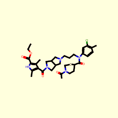 CCOC(=O)c1[nH]c(C)c(C(=O)N2CC3CN(CCCN(C(=O)C4CCN(C(C)=O)CC4)c4ccc(C)c(Cl)c4)CC3C2)c1C